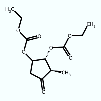 CCOC(=O)OC1CC(=O)[C@H](C)[C@H]1OC(=O)OCC